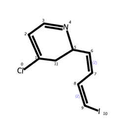 ClC1=CC=NC(/C=C\C=C/I)C1